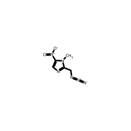 Cn1c([N+](=O)[O-])cnc1CN=[N+]=[N-]